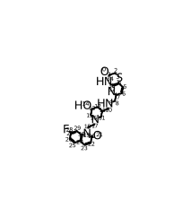 O=C1CSc2ccc(CNCC3CC(O)CN(CCn4c(=O)ccc5ccc(F)cc54)C3)nc2N1